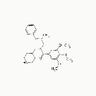 COc1cc(C(=O)N(CC(C)=Cc2ccccc2)CC2CCNCC2)cc(OC)c1OC